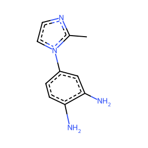 Cc1nccn1-c1ccc(N)c(N)c1